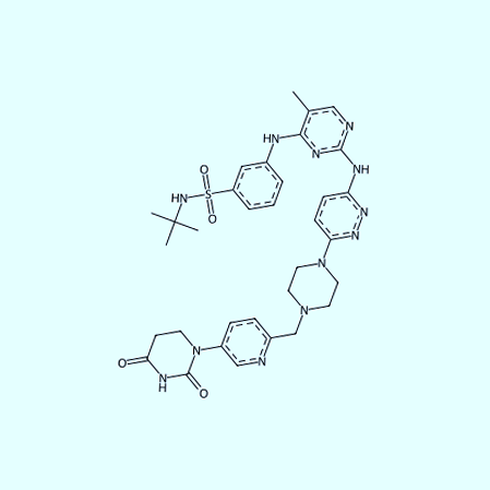 Cc1cnc(Nc2ccc(N3CCN(Cc4ccc(N5CCC(=O)NC5=O)cn4)CC3)nn2)nc1Nc1cccc(S(=O)(=O)NC(C)(C)C)c1